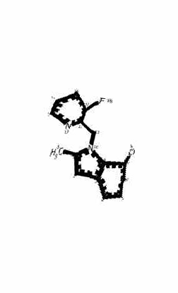 Cc1cc2cccc(Cl)c2n1Cc1ncccc1F